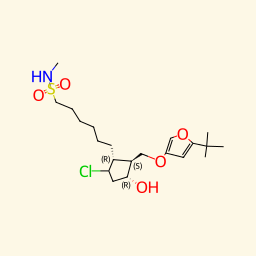 CNS(=O)(=O)CCCCCC[C@H]1C(Cl)C[C@@H](O)[C@@H]1COc1coc(C(C)(C)C)c1